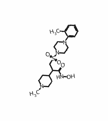 Cc1ccccc1N1CCN(S(=O)(=O)CC(C(=O)NO)C2CCN(C)CC2)CC1